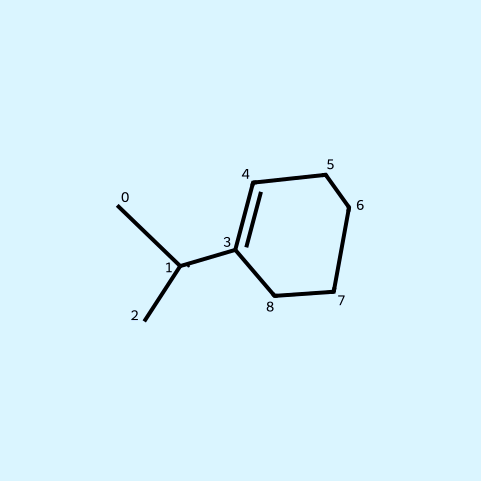 C[C](C)C1=CCCCC1